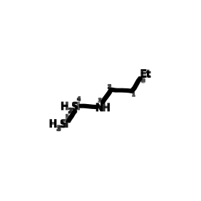 CCCCN[SiH2][SiH3]